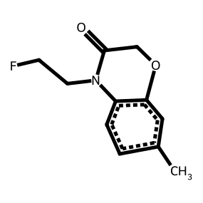 Cc1ccc2c(c1)OCC(=O)N2CCF